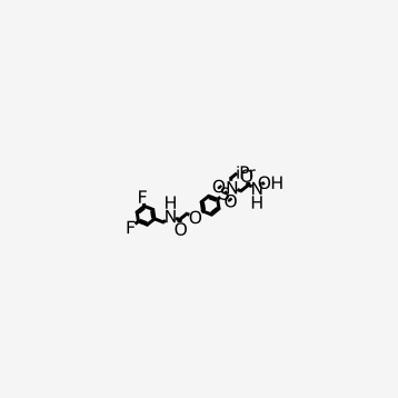 CC(C)CN(CC(=O)NO)S(=O)(=O)c1ccc(OCC(=O)NCc2cc(F)cc(F)c2)cc1